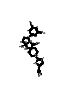 C#Cc1cnc(N2CCC3(CC2)O[C@@H]2CC[C@@H](c4cc(F)cc(F)c4)N2C3=O)s1